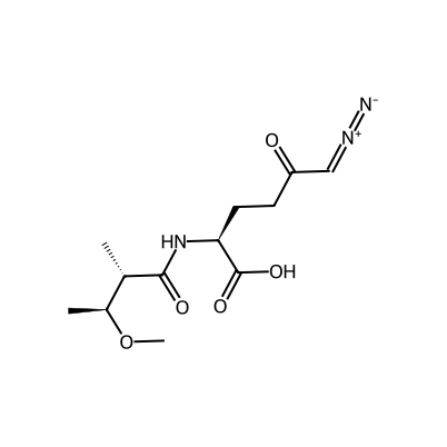 CO[C@@H](C)[C@H](C)C(=O)N[C@@H](CCC(=O)C=[N+]=[N-])C(=O)O